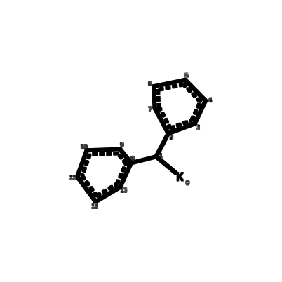 [K][CH](c1ccccc1)c1ccccc1